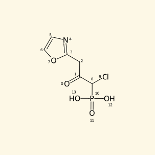 O=C(Cc1ncco1)C(Cl)P(=O)(O)O